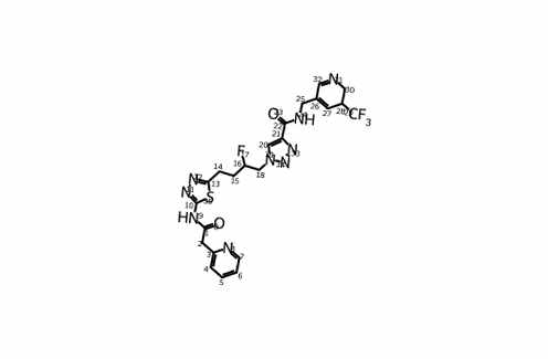 O=C(Cc1ccccn1)Nc1nnc(CCC(F)Cn2cc(C(=O)NCC3=CC(C(F)(F)F)CN=C3)nn2)s1